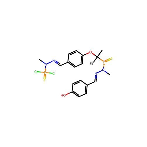 CCC(C)(Oc1ccc(/C=N/N(C)P(=S)(Cl)Cl)cc1)[PH](=S)N(C)/N=C/c1ccc(O)cc1